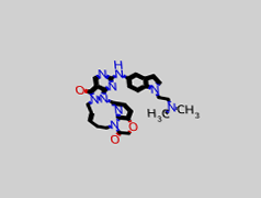 CN(C)CCn1ccc2cc(Nc3ncc4c(=O)n5n(c4n3)-c3ccc4c(n3)N(CC/C=C/C5)C(=O)CO4)ccc21